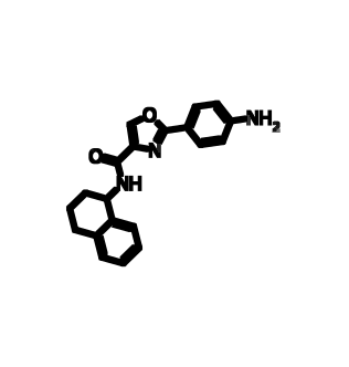 Nc1ccc(-c2nc(C(=O)NC3CCCc4ccccc43)co2)cc1